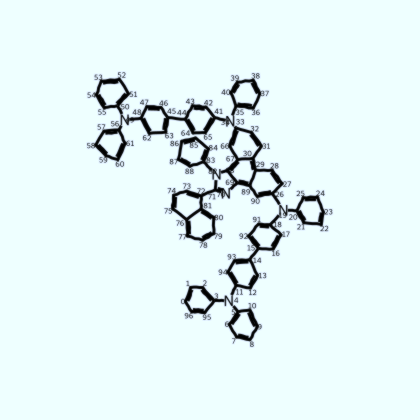 c1ccc(N(c2ccccc2)c2ccc(-c3ccc(N(c4ccccc4)c4ccc5c6ccc(N(c7ccccc7)c7ccc(-c8ccc(N(c9ccccc9)c9ccccc9)cc8)cc7)cc6c6c(nc(-c7cccc8ccccc78)n6-c6ccccc6)c5c4)cc3)cc2)cc1